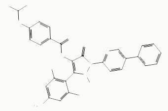 COc1cc(F)c(-c2c(NC(=O)c3ccc(OC(F)F)cc3)c(=O)n(-c3ccc(-c4ccccc4)cn3)n2C)c(F)c1